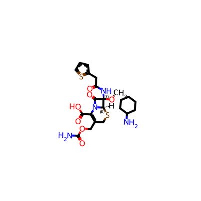 CO[C@@]1(NC(=O)Cc2cccs2)C(=O)N2C(C(=O)O)=C(COC(N)=O)CS[C@@H]21.NC1CCCCC1